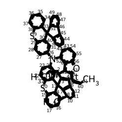 C/C=C\C1=C(CC)C2=C(C(C)CC=C2)C12c1ccccc1Sc1ccc(N(c3ccc4c(c3)C3(c5ccccc5S4)c4ccccc4-c4ccccc43)c3cccc4oc(/C=C\C)c(CCC)c34)cc12